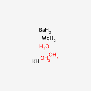 O.O.O.[BaH2].[KH].[MgH2]